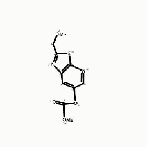 COCc1nc2cc(OC(=O)OC)cnc2s1